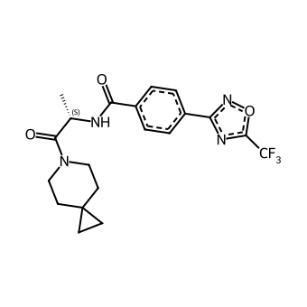 C[C@H](NC(=O)c1ccc(-c2noc(C(F)(F)F)n2)cc1)C(=O)N1CCC2(CC1)CC2